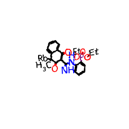 CCOP(=O)(OCC)c1ccccc1NC(=N)C1C(=O)c2ccccc2[C](C)([Rb])C1=O